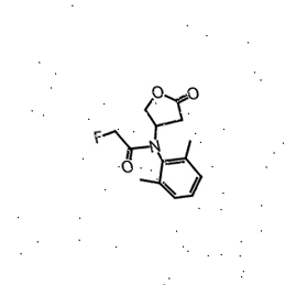 Cc1cccc(C)c1N(C(=O)CF)C1COC(=O)C1